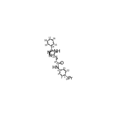 CC(C)c1ccc(NC(=O)CSc2nnc(-c3ccccc3)[nH]2)cc1